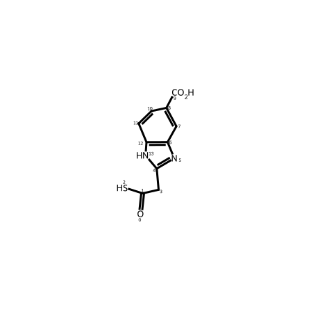 O=C(S)Cc1nc2cc(C(=O)O)ccc2[nH]1